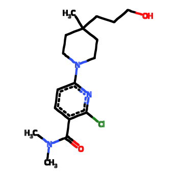 CN(C)C(=O)c1ccc(N2CCC(C)(CCCO)CC2)nc1Cl